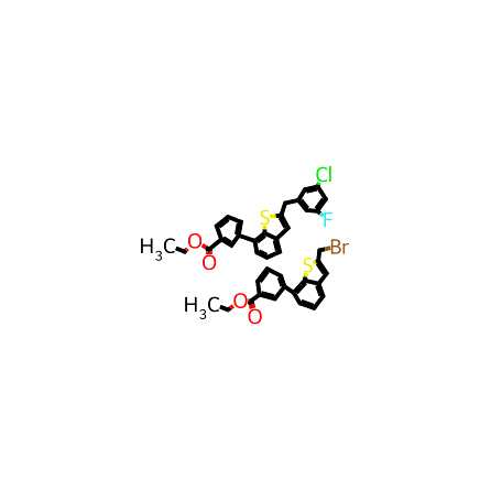 CCOC(=O)c1cccc(-c2cccc3cc(CBr)sc23)c1.CCOC(=O)c1cccc(-c2cccc3cc(Cc4cc(F)cc(Cl)c4)sc23)c1